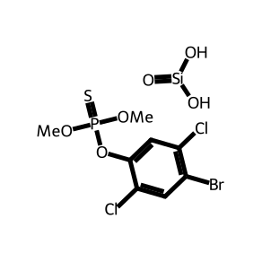 COP(=S)(OC)Oc1cc(Cl)c(Br)cc1Cl.O=[Si](O)O